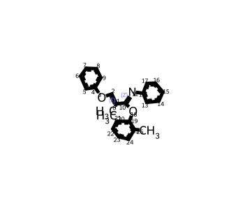 CC(=C\Oc1ccccc1)/C(=N/c1ccccc1)Oc1c(C)cccc1C